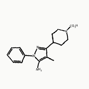 Cc1c(C2CCN(C(=O)O)CC2)nn(-c2ccccc2)c1N